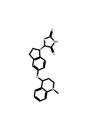 CN1CCC(Oc2ccc3c(c2)CC[C@H]3C2SC(=O)NC2=O)c2ccccc21